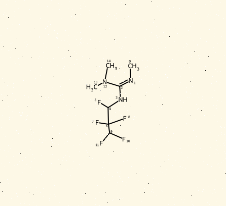 CN=C(NC(F)C(F)(F)C(F)F)N(C)C